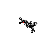 Cc1c(OCc2ccccc2)c(OCc2ccccc2)cc(C(=O)N2CC[C@@H](c3cc(C(=O)NC[C@@H]4[C@H](NC(=O)/C(=N\OC(C)(C)C(=O)OC(C)(C)C)c5csc(NC(=O)OC(C)(C)C)n5)C(=O)N4S(=O)(=O)O)on3)C2)[n+]1[O-]